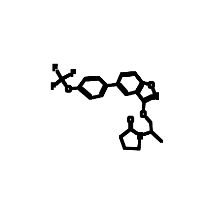 CC(COc1noc2ccc(-c3ccc(OC(F)(F)F)cc3)cc12)N1CCCC1=O